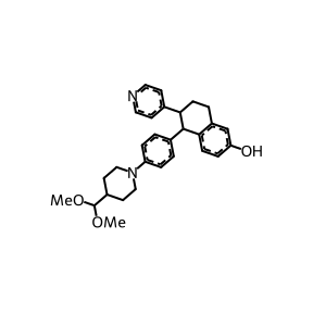 COC(OC)C1CCN(c2ccc(C3c4ccc(O)cc4CCC3c3ccncc3)cc2)CC1